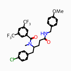 COc1ccc(CNC(=O)CCC(Cc2ccc(Cl)cc2)N(C)C(=O)c2cc(C(F)(F)F)cc(C(F)(F)F)c2)cc1